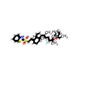 CC[Si](CC)(CC)OC(C)(C)[C@H](F)CC[C@@H](C)[C@H]1CC[C@H]2/C(=C/CS(=O)(=O)c3nc4ccccc4s3)CCC[C@]12C